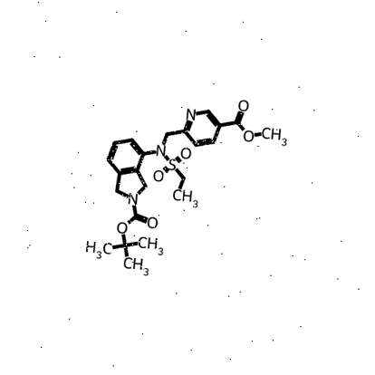 CCS(=O)(=O)N(Cc1ccc(C(=O)OC)cn1)c1cccc2c1CN(C(=O)OC(C)(C)C)C2